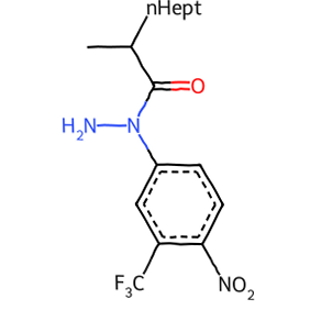 CCCCCCCC(C)C(=O)N(N)c1ccc([N+](=O)[O-])c(C(F)(F)F)c1